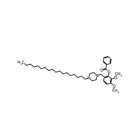 CCCCCCCCCCCCCCCCCCN1CCN(Cc2ccc(OC)c(OC)c2OC(=O)c2ccccc2)CC1